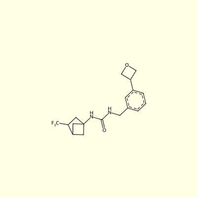 O=C(NCc1cccc(C2COC2)c1)NC12CC(C1)C(C(F)(F)F)C2